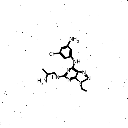 CCn1nnc2c(Nc3cc(N)cc(Cl)c3)nc(NCC(C)N)nc21